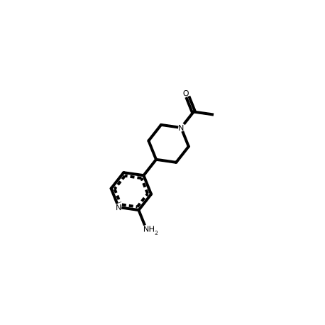 CC(=O)N1CCC(c2ccnc(N)c2)CC1